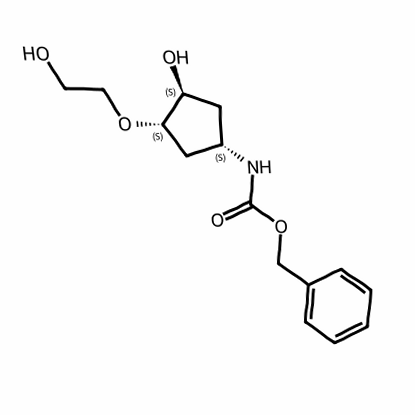 O=C(N[C@@H]1C[C@H](OCCO)[C@@H](O)C1)OCc1ccccc1